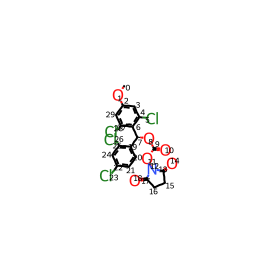 COc1cc(Cl)c([C@@H](OC(=O)ON2C(=O)CCC2=O)c2ccc(Cl)cc2Cl)c(Cl)c1